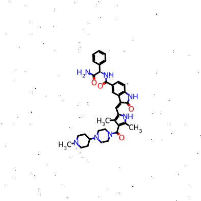 Cc1[nH]c(/C=C2\C(=O)Nc3ccc(C(=O)N[C@@H](C(N)=O)c4ccccc4)cc32)c(C)c1C(=O)N1CCN(C2CCN(C)CC2)CC1